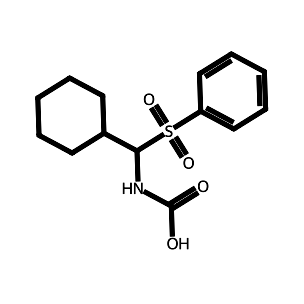 O=C(O)NC(C1CCCCC1)S(=O)(=O)c1ccccc1